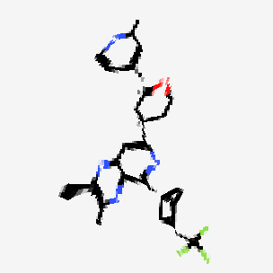 Cc1cc([C@H]2C[C@H](c3cc4nc(C)c(C)nc4c([C@]45C[C@@](C(F)(F)F)(C4)C5)n3)CCO2)ccn1